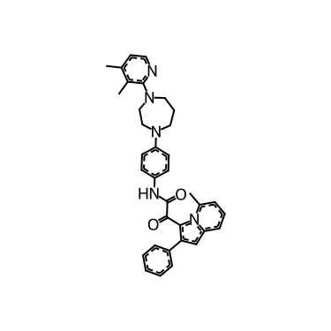 Cc1ccnc(N2CCCN(c3ccc(NC(=O)C(=O)c4c(-c5ccccc5)cc5cccc(C)n45)cc3)CC2)c1C